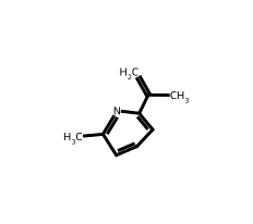 C=C(C)c1cccc(C)n1